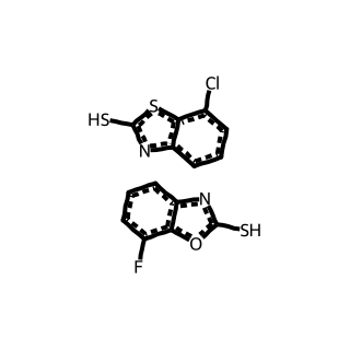 Fc1cccc2nc(S)oc12.Sc1nc2cccc(Cl)c2s1